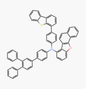 c1ccc(-c2ccc(-c3ccc(N(c4ccc(-c5cccc6c5sc5ccccc56)cc4)c4cccc5oc6c7ccccc7ccc6c45)cc3)cc2-c2ccccc2)cc1